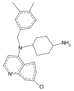 Cc1ccc(CN(c2ccnc3cc(Cl)ccc23)C2CCC(N)CC2)cc1C